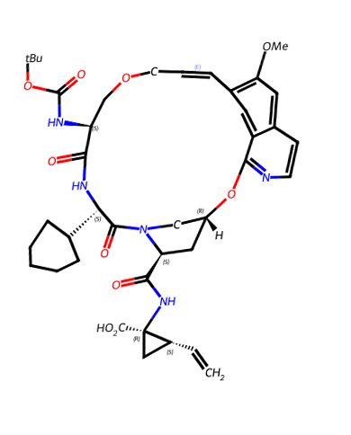 C=C[C@@H]1C[C@]1(NC(=O)[C@@H]1C[C@@H]2CN1C(=O)[C@H](C1CCCCC1)NC(=O)[C@@H](NC(=O)OC(C)(C)C)COC/C=C/c1cc3c(nccc3cc1OC)O2)C(=O)O